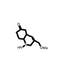 CCCN1CC(COC)=CC2CC(=O)CCC21